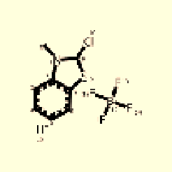 CN1c2ccccc2SC1Cl.F[B-](F)(F)F.[H+]